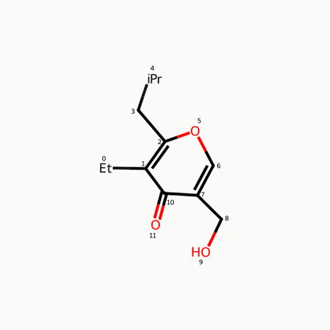 CCc1c(CC(C)C)occ(CO)c1=O